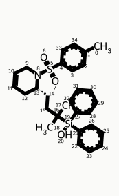 Cc1ccc(S(=O)(=O)N2CC=CC[C@H]2CCC(C)(C)[Si](O)(c2ccccc2)c2ccccc2)cc1